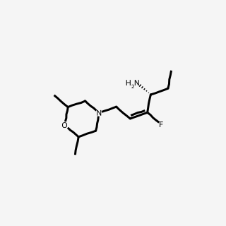 CC[C@@H](N)/C(F)=C\CN1CC(C)OC(C)C1